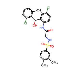 COc1ccc(S(=O)(=O)NCC(=O)Nc2ccc(Cl)cc2C(O)c2c(C)cccc2Cl)cc1OC